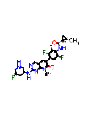 CC(C)n1c(=O)c(-c2cc(F)c(NC(=O)[C@@H]3C[C@@H]3C)c(F)c2F)cc2cnc(N[C@@H]3CNC[C@@H](F)C3)nc21